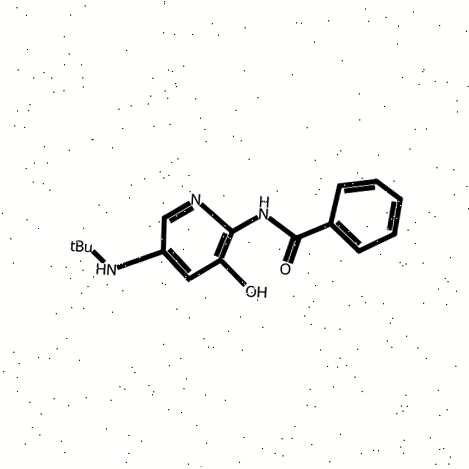 CC(C)(C)Nc1cnc(NC(=O)c2ccccc2)c(O)c1